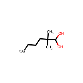 CC(C)(C)CCCC(C)(C)C(O)O